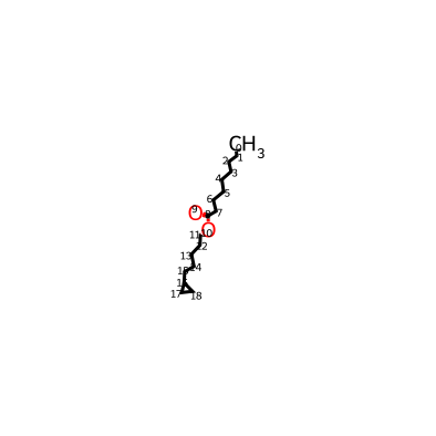 CCCCCCCCC(=O)OCCCCCC1CC1